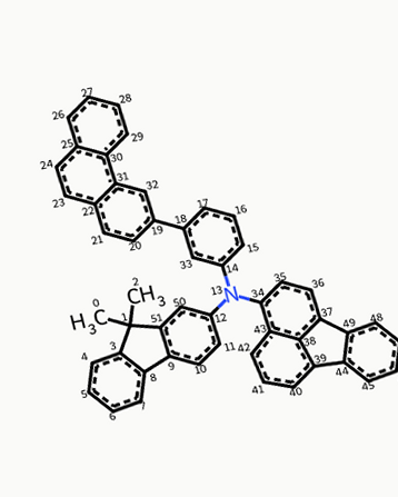 CC1(C)c2ccccc2-c2ccc(N(c3cccc(-c4ccc5ccc6ccccc6c5c4)c3)c3ccc4c5c(cccc35)-c3ccccc3-4)cc21